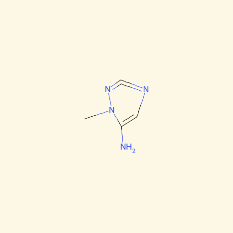 CN1N=C=NC=C1N